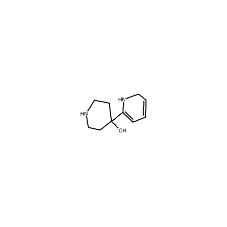 OC1(C2=CC=CCN2)CCNCC1